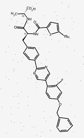 C[C@@H](NC(=O)[C@H](Cc1ccc(-c2ncc(-c3ccc(OCc4ccccc4)cc3F)cn2)cc1)NC(=O)c1ccc(C(C)(C)C)s1)C(=O)O